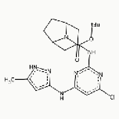 Cc1cc(Nc2cc(Cl)nc(NC3CC4CCC(C3)N4C(=O)OC(C)(C)C)n2)n[nH]1